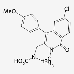 COc1ccc(-c2c(CN(C(=O)O)C(C)(C)C)n(C)c(=O)c3ccc(Cl)cc23)cc1